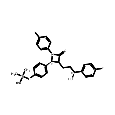 CC(C)(C)[Si](C)(C)Oc1ccc([C@@H]2C(CC[C@H](O)c3ccc(F)cc3)C(=O)N2c2ccc(I)cc2)cc1